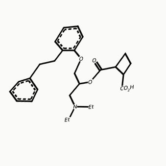 CCN(CC)CC(COc1ccccc1CCc1ccccc1)OC(=O)C1CCC1C(=O)O